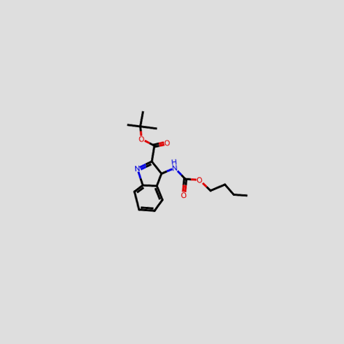 CCCCOC(=O)NC1C(C(=O)OC(C)(C)C)=Nc2ccccc21